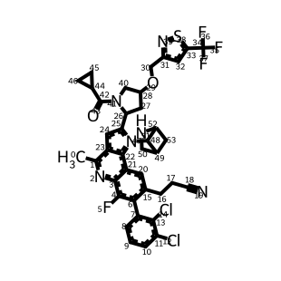 Cc1nc2c(F)c(-c3cccc(Cl)c3Cl)c(CCC#N)cc2c2c1cc(C1CC(OCc3cc(C(F)(F)F)sn3)CN1C(=O)C1CC1)n2C1C2CNC1C2